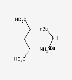 CCCCNCCCC.N[C@@H](CCC(=O)O)C(=O)O